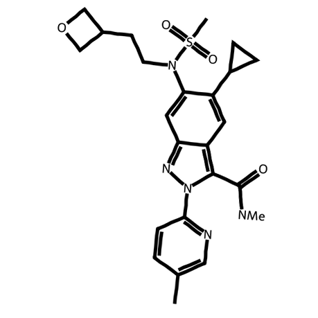 CNC(=O)c1c2cc(C3CC3)c(N(CCC3COC3)S(C)(=O)=O)cc2nn1-c1ccc(C)cn1